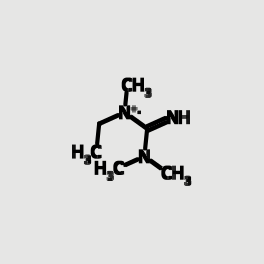 CC[N+](C)C(=N)N(C)C